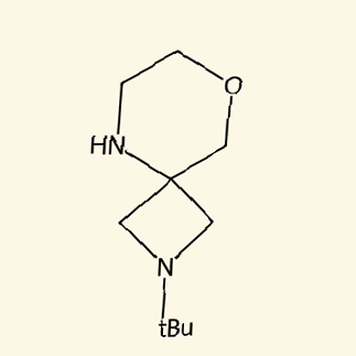 CC(C)(C)N1CC2(COCCN2)C1